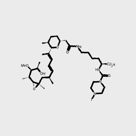 CO[C@H]([C@@H](C)[C@H]1O[C@]1(C)C[C@H](C)/C=C/C=C(\C)[C@H]1O[C@@H](CC(=O)NCCCC[C@H](NC(=O)N2CCN(I)CC2)C(=O)O)CC[C@@H]1C)[C@@H](C)O